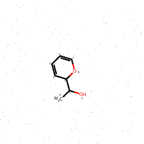 CC(O)C1C=CC=CO1